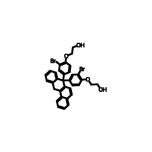 OCCOc1ccc(C2(c3ccc(OCCO)c(Br)c3)c3ccccc3Cc3c2ccc2ccccc32)cc1Br